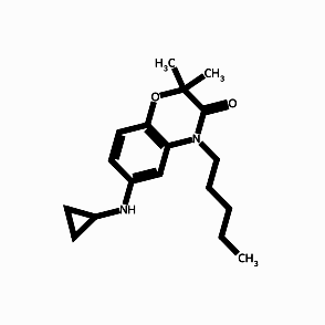 CCCCCN1C(=O)C(C)(C)Oc2ccc(NC3CC3)cc21